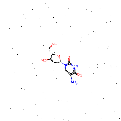 Nc1cn([C@@H]2CC(O)[C@H](CO)O2)c(=O)[nH]c1=O